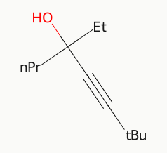 CCCC(O)(C#CC(C)(C)C)CC